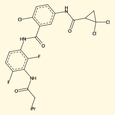 CC(C)CC(=O)Nc1c(F)ccc(NC(=O)c2cc(NC(=O)C3CC3(Cl)Cl)ccc2Cl)c1F